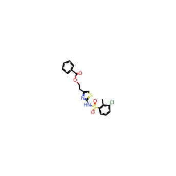 Cc1c(Cl)cccc1S(=O)(=O)Nc1nc(CCOC(=O)c2ccccc2)cs1